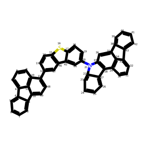 c1ccc2c(c1)-c1cccc3c(-c4ccc5sc6ccc(-n7c8ccccc8c8c9cccc%10c9c(cc87)-c7ccccc7-%10)cc6c5c4)ccc-2c13